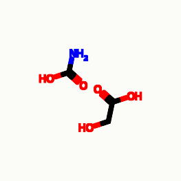 NC(=O)O.O=C(O)CO